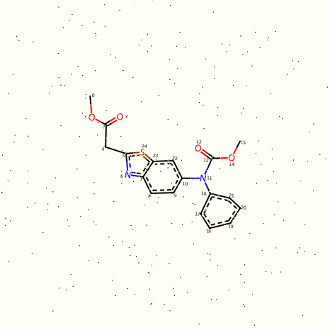 COC(=O)Cc1nc2ccc(N(C(=O)OC)c3ccccc3)cc2s1